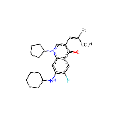 CCC(=Cc1cn(C2CCCC2)c2cc(NC3CCCCC3)c(F)cc2c1=O)C(=O)O